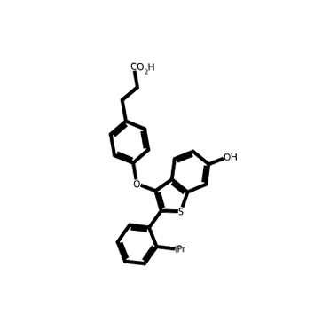 CC(C)c1ccccc1-c1sc2cc(O)ccc2c1Oc1ccc(CCC(=O)O)cc1